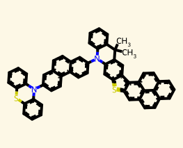 CC1(C)c2ccccc2N(c2ccc3c(ccc4cc(N5c6ccccc6Sc6ccccc65)ccc43)c2)c2cc3sc4cc5ccc6cccc7ccc(c4c3cc21)c5c67